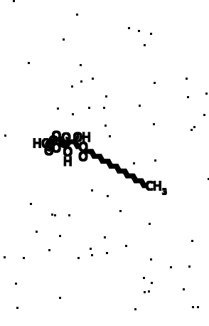 CCCCCCCCCCCCCCCC(=O)OC[C@H](O)[C@H]1OC(=O)C(OS(=O)(=O)O)=C1O